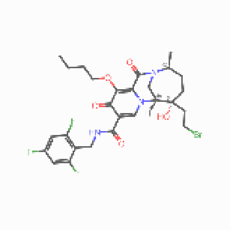 CCCCOc1c2n(cc(C(=O)NCc3c(F)cc(F)cc3F)c1=O)[C@@H]1CN(C2=O)[C@@H](C)CC[C@@]1(O)CCBr